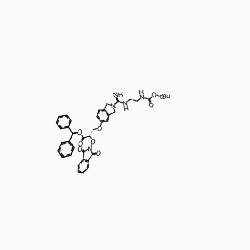 CC(C)(C)OC(=O)NCCNC(=N)N1Cc2ccc(OC[C@H](ON3C(=O)c4ccccc4C3=O)C(=O)OC(c3ccccc3)c3ccccc3)cc2C1